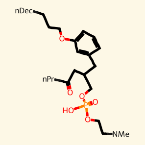 CCCCCCCCCCCCCOc1cccc(CC(COP(=O)(O)OCCNC)CC(=O)CCC)c1